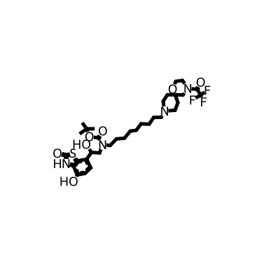 CC(C)(C)OC(=O)N(CCCCCCCCCN1CCC2(CC1)CN(C(=O)C(F)(F)F)CCO2)CC(O)c1ccc(O)c2[nH]c(=O)sc12